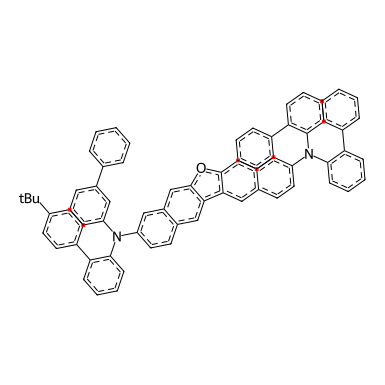 CC(C)(C)c1ccc(-c2ccccc2N(c2cccc(-c3ccccc3)c2)c2ccc3cc4c(cc3c2)oc2cc3cc(N(c5ccccc5-c5ccccc5)c5ccccc5-c5ccccc5)ccc3cc24)cc1